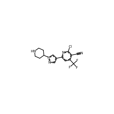 N#Cc1c(C(F)(F)F)cc(-c2cnn(C3CCNCC3)c2)nc1Cl